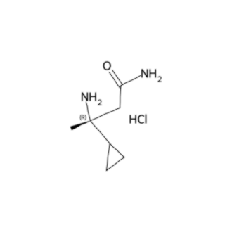 C[C@@](N)(CC(N)=O)C1CC1.Cl